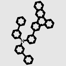 c1ccc(-c2cccc(N(c3cccc(-c4ccccc4)c3)c3cccc(-c4ccc5c(c4)c4ccccc4c4cc6ccccc6cc54)c3)c2)cc1